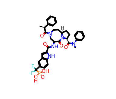 C[C@H](C(=O)N1CC[C@H]2CC[C@@H](C(=O)N(C)c3ccccc3)N2C(=O)C(NC(=O)c2cc3cc(C(F)(F)P(=O)(O)O)ccc3[nH]2)C1)c1ccccc1